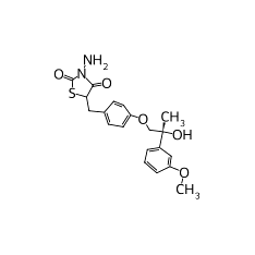 COc1cccc([C@@](C)(O)COc2ccc(CC3SC(=O)N(N)C3=O)cc2)c1